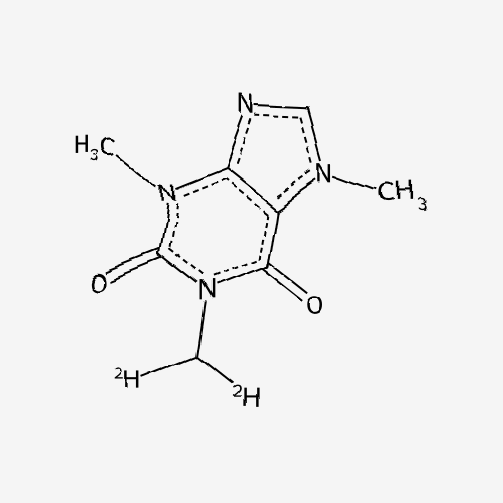 [2H]C([2H])n1c(=O)c2c(ncn2C)n(C)c1=O